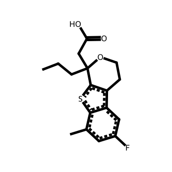 CCCC1(CC(=O)O)OCCc2c1sc1c(C)cc(F)cc21